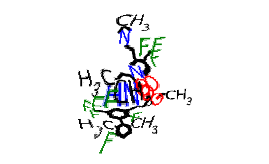 CCOC(=O)C[C@H](NC(=O)C(CC(C)C)n1cc(CCN2CC(C)C2)c(C(F)(F)F)cc1=O)c1c(F)c(-c2c(C)ccc(F)c2C)cc(C(F)(F)F)c1F